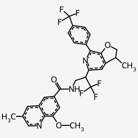 COc1cc(C(=O)NCC(c2cc3c(c(-c4ccc(C(F)(F)F)cc4)n2)OCC3C)C(F)(F)F)cc2cc(C)cnc12